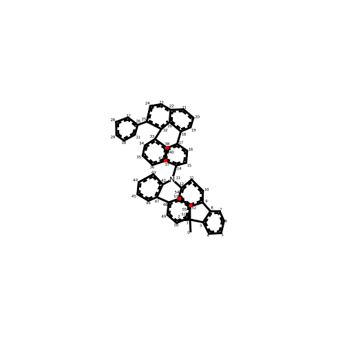 CC1(C)c2ccccc2-c2ccc(N(c3ccc(-c4cccc5ccc(-c6ccccc6)c(-c6ccccc6)c45)cc3)c3ccccc3-c3ccccc3)cc21